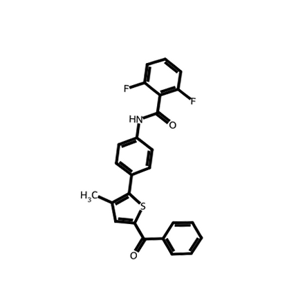 Cc1cc(C(=O)c2ccccc2)sc1-c1ccc(NC(=O)c2c(F)cccc2F)cc1